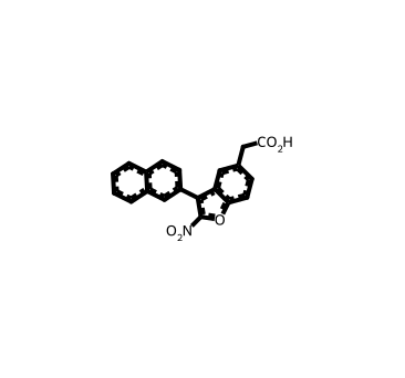 O=C(O)Cc1ccc2oc([N+](=O)[O-])c(-c3ccc4ccccc4c3)c2c1